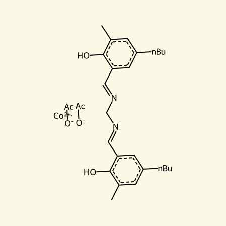 CC(=O)[O-].CC(=O)[O-].CCCCc1cc(C)c(O)c(C=NCN=Cc2cc(CCCC)cc(C)c2O)c1.[Co+2]